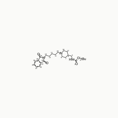 CC(C)(C)OC(=O)NCC1CCN(CCCCCN2C(=O)c3ccccc3C2=O)CC1